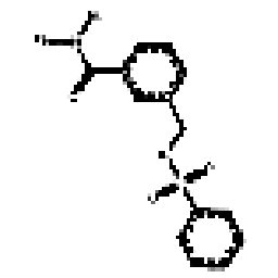 CCN(CC)C(=O)c1cccc(CNS(=O)(=O)c2ccccc2)c1